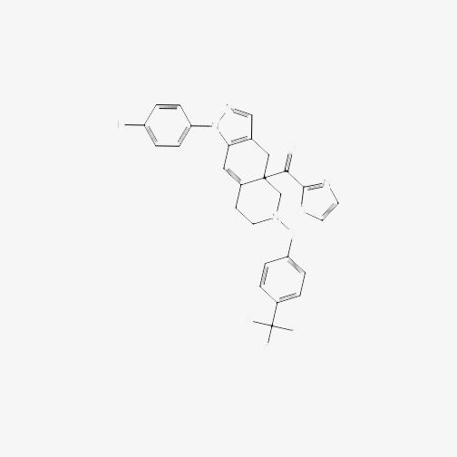 O=C(c1ncco1)C12Cc3cnn(-c4ccc(F)cc4)c3C=C1CCN(Sc1ccc(C(F)(F)F)cc1)C2